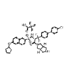 O=C(O)C(F)(F)F.O=C([C@H](NS(=O)(=O)c1ccc2cc(OC3CCCC3)ccc2c1)C(F)(F)c1ccc(-c2ccc(Cl)cc2)cc1)N1C[C@H]2CNC[C@H]2C1